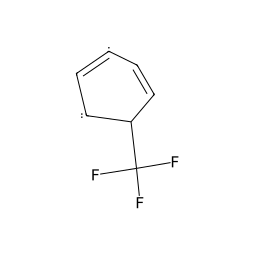 FC(F)(F)C1[C]C=[C]C=C1